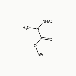 CCCOC(=O)N(C)[N]C(C)=O